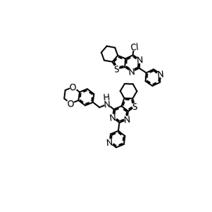 Clc1nc(-c2cccnc2)nc2sc3c(c12)CCCC3.c1cncc(-c2nc(NCc3ccc4c(c3)OCCO4)c3c4c(sc3n2)CCCC4)c1